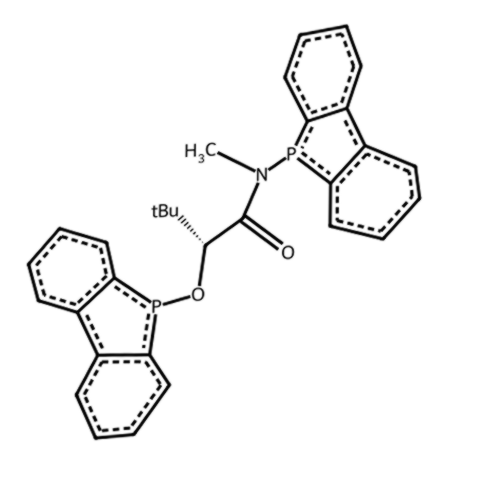 CN(C(=O)[C@H](Op1c2ccccc2c2ccccc21)C(C)(C)C)p1c2ccccc2c2ccccc21